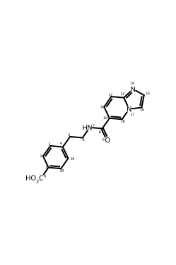 O=C(O)c1ccc(CCNC(=O)c2ccc3nccn3c2)cc1